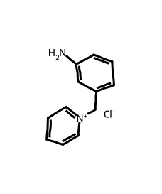 Nc1cccc(C[n+]2ccccc2)c1.[Cl-]